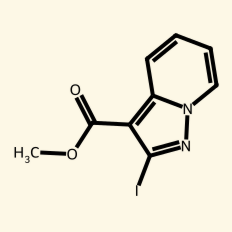 COC(=O)c1c(I)nn2ccccc12